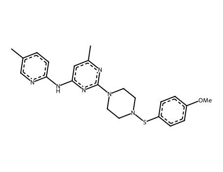 COc1ccc(SN2CCN(c3nc(C)cc(Nc4ccc(C)cn4)n3)CC2)cc1